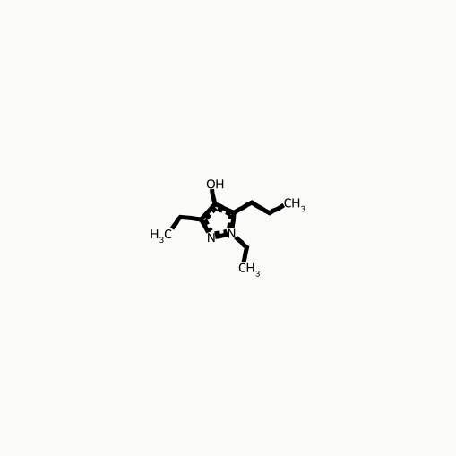 CCCc1c(O)c(CC)nn1CC